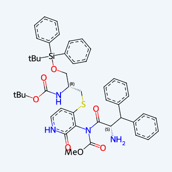 COC(=O)N(C(=O)[C@@H](N)C(c1ccccc1)c1ccccc1)c1c(SC[C@@H](CO[Si](c2ccccc2)(c2ccccc2)C(C)(C)C)NC(=O)OC(C)(C)C)cc[nH]c1=O